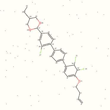 C=CCCOC1=CC=C(c2ccc(-c3ccc(C4OCC(CC)CO4)cc3F)cc2)C(F)C1F